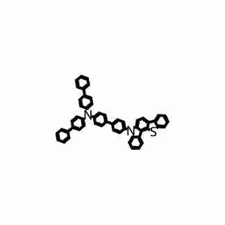 c1ccc(-c2ccc(N(c3ccc(-c4ccccc4)cc3)c3ccc(-c4ccc(-n5c6ccccc6c6c7sc8ccccc8c7ccc65)cc4)cc3)cc2)cc1